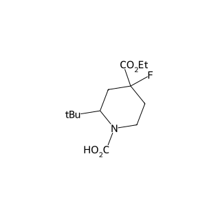 CCOC(=O)C1(F)CCN(C(=O)O)C(C(C)(C)C)C1